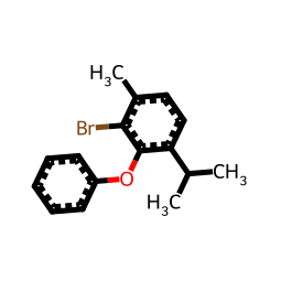 Cc1ccc(C(C)C)c(Oc2ccccc2)c1Br